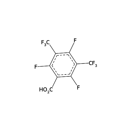 O=C(O)c1c(F)c(C(F)(F)F)c(F)c(C(F)(F)F)c1F